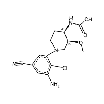 CO[C@H]1CN(c2cc(C#N)cc(N)c2Cl)CC[C@H]1NC(=O)O